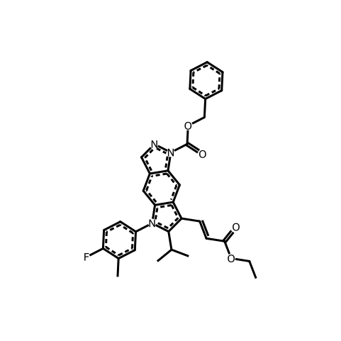 CCOC(=O)/C=C/c1c(C(C)C)n(-c2ccc(F)c(C)c2)c2cc3cnn(C(=O)OCc4ccccc4)c3cc12